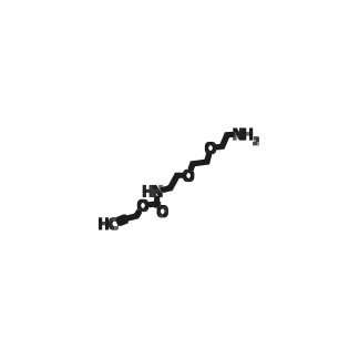 C#CCOC(=O)NCCOCCOCCN